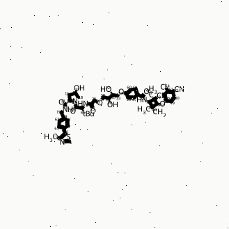 Cc1ncsc1-c1ccc(CNC(=O)[C@@H]2C[C@@H](O)CN2C(=O)[C@@H](NC(=O)COC[C@H](O)[C@@H](O)COc2ccc(C(=O)N[C@H]3C(C)(C)[C@H](Oc4ccc(C#N)c(Cl)c4)C3(C)C)cc2)C(C)(C)C)cc1